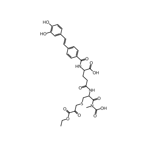 CCOC(=O)C(=O)CSCC(NC(=O)CCC(NC(=O)c1ccc(C=Cc2ccc(O)c(O)c2)cc1)C(=O)O)C(=O)N(C)C(=O)O